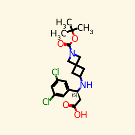 CC(C)(C)OC(=O)N1CC2(CC(N[C@@H](CC(=O)O)c3cc(Cl)cc(Cl)c3)C2)C1